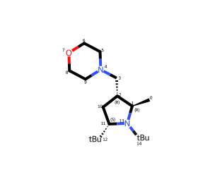 C[C@@H]1[C@@H](CN2CCOCC2)C[C@@H](C(C)(C)C)N1C(C)(C)C